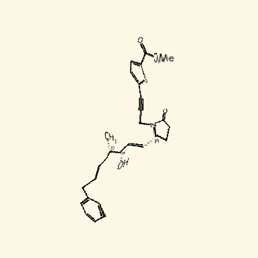 COC(=O)c1ccc(C#CCN2C(=O)CC[C@@H]2C=C[C@H](O)[C@@H](C)CCCc2ccccc2)s1